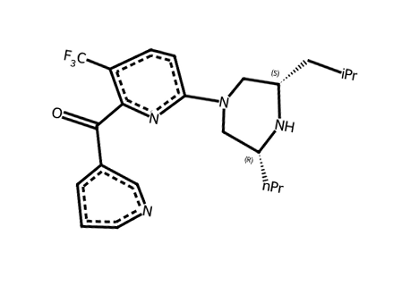 CCC[C@@H]1CN(c2ccc(C(F)(F)F)c(C(=O)c3cccnc3)n2)C[C@H](CC(C)C)N1